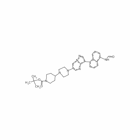 CC(C)(C)OC(=O)N1CCC(N2CCN(c3cnc4c(-c5cccc6c(NC=O)cccc56)cnn4c3)CC2)CC1